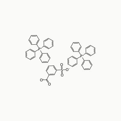 O=C([O-])c1cccc(S(=O)(=O)[O-])c1.c1ccc([P+](c2ccccc2)(c2ccccc2)c2ccccc2)cc1.c1ccc([P+](c2ccccc2)(c2ccccc2)c2ccccc2)cc1